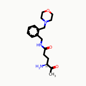 CC(=O)[C@@H](N)CCC(=O)NCc1ccccc1CN1CCOCC1